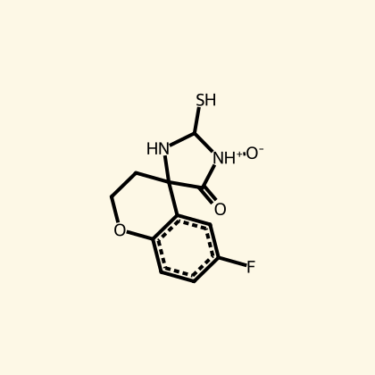 O=C1[NH+]([O-])C(S)NC12CCOc1ccc(F)cc12